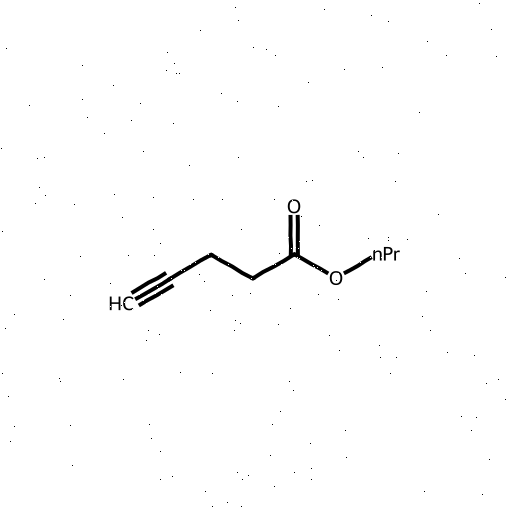 C#CCCC(=O)OCCC